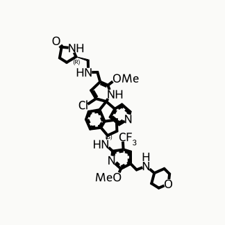 COC1=C(CNC[C@H]2CCC(=O)N2)C=C(Cl)C(c2ccncc2)(c2cccc3c2CC[C@@H]3Nc2nc(OC)c(CNC3CCOCC3)cc2C(F)(F)F)N1